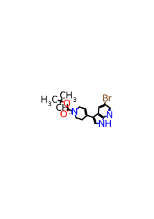 CC(C)(C)OC(=O)N1CC=C(c2c[nH]c3ncc(Br)cc23)CC1